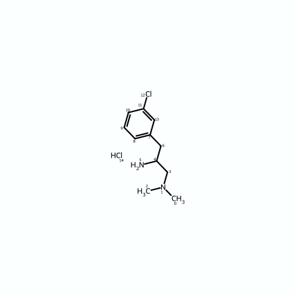 CN(C)CC(N)Cc1cccc(Cl)c1.Cl